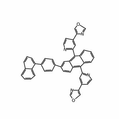 c1ccc2c(-c3ccc(-c4ccc5c(-c6cc(-c7cocn7)ccn6)c6ccccc6c(-c6cc(-c7cocn7)ccn6)c5c4)cc3)cccc2c1